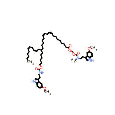 CCCCC/C=C\C/C=C\CC(CCCCC/C=C\C/C=C\CCCCCCCC(=O)OCOC(=O)N(C)CCc1c[nH]c2ccc(OC)cc12)CCCCCCOC(=O)NCCc1c[nH]c2ccc(OC)cc12